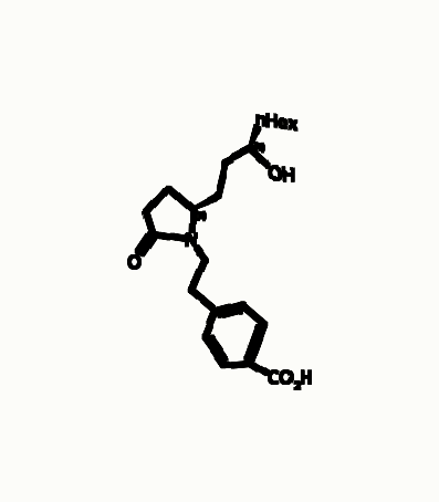 CCCCCC[C@@H](O)CC[C@@H]1CCC(=O)N1CCc1ccc(C(=O)O)cc1